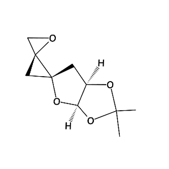 CC1(C)O[C@H]2O[C@]3(C[C@H]2O1)C[C@]31CO1